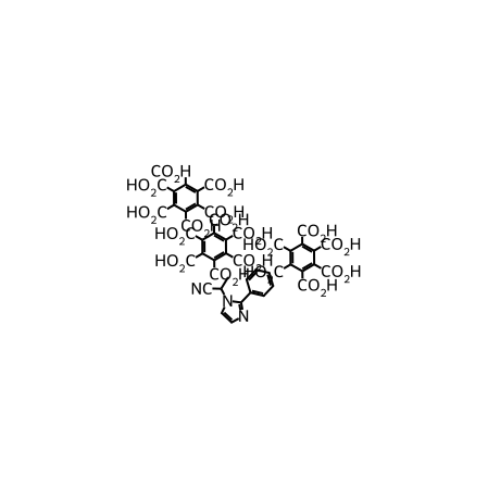 CC(C#N)n1ccnc1-c1ccccc1.O=C(O)c1c(C(=O)O)c(C(=O)O)c(C(=O)O)c(C(=O)O)c1C(=O)O.O=C(O)c1c(C(=O)O)c(C(=O)O)c(C(=O)O)c(C(=O)O)c1C(=O)O.O=C(O)c1c(C(=O)O)c(C(=O)O)c(C(=O)O)c(C(=O)O)c1C(=O)O